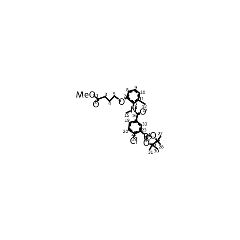 COC(=O)CCCOc1cccc(C)c1N(C)C(=O)c1ccc(Cl)c(B2OC(C)(C)C(C)(C)O2)c1